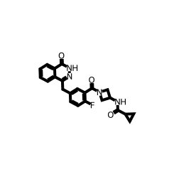 O=C(NC1CN(C(=O)c2cc(Cc3n[nH]c(=O)c4ccccc34)ccc2F)C1)C1CC1